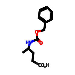 CC(CCC(=O)O)NC(=O)OCc1ccccc1